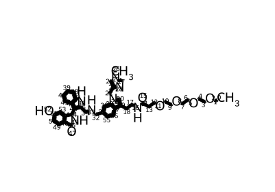 CCOCCOCCOCCOCCC(=O)NCCc1cn(Cc2cn(C)cn2)c2cc(CNCc3[nH]c4ccccc4c3C3NC(=O)c4ccc(O)cc43)ccc12